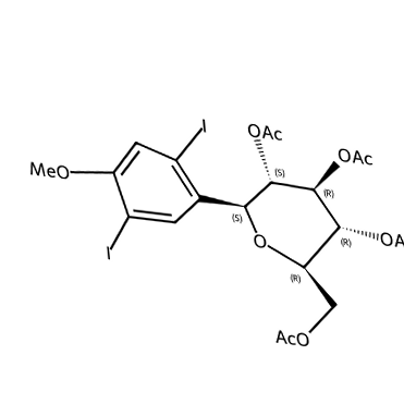 COc1cc(I)c([C@@H]2O[C@H](COC(C)=O)[C@@H](OC(C)=O)[C@H](OC(C)=O)[C@H]2OC(C)=O)cc1I